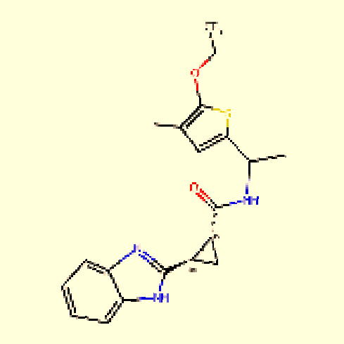 Cc1cc(C(C)NC(=O)[C@@H]2C[C@H]2c2nc3ccccc3[nH]2)sc1OCC(F)(F)F